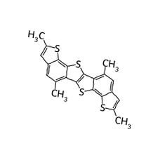 Cc1cc2cc(C)c3c(sc4c3sc3c5sc(C)cc5cc(C)c34)c2s1